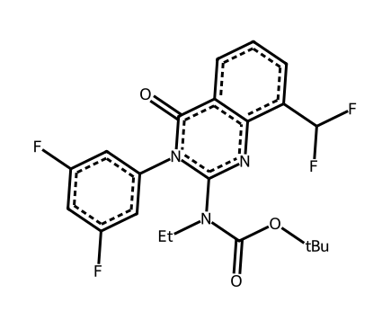 CCN(C(=O)OC(C)(C)C)c1nc2c(C(F)F)cccc2c(=O)n1-c1cc(F)cc(F)c1